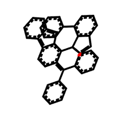 [C]1=c2ccccc2=c2ccc(=C(c3ccccc3)c3ccccc3)c(C3C=Cc4cccc(-c5ccccc5)c43)c21